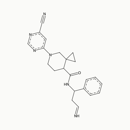 N#Cc1cc(N2CCC(C(=O)NC(CC=N)c3ccccc3)C3(CC3)C2)ncn1